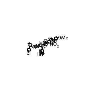 COc1ccc([C@H]2COc3cc(S(=O)(=O)NC(=O)c4ccc(N5CCN(CC6=C(c7ccc(Cl)cc7)CC(C)(C)CC6)CC5)cc4Oc4cnc5[nH]ccc5c4)cc([N+](=O)[O-])c3N2)cc1